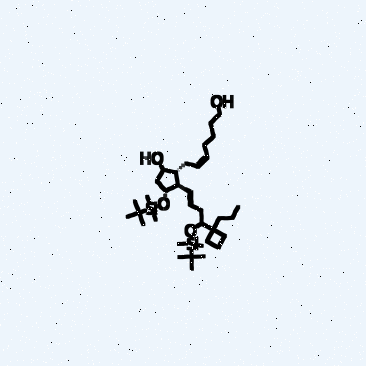 CCCC1(C(C/C=C/[C@H]2[C@H](O[Si](C)(C)C(C)(C)C)CC(O)[C@@H]2C/C=C\CCCCO)O[Si](C)(C)C(C)(C)C)CCC1